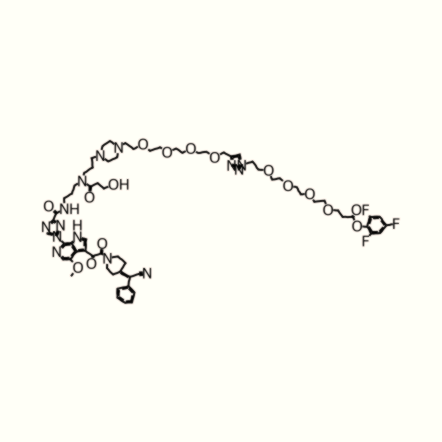 COc1cnc(-n2cnc(C(=O)NCCCN(CCCN3CCN(CCOCCOCCOCCOCc4cn(CCOCCOCCOCCOCCC(=O)Oc5c(F)cc(F)cc5F)nn4)CC3)C(=O)CCO)n2)c2[nH]cc(C(=O)C(=O)N3CCC(=C(C#N)c4ccccc4)CC3)c12